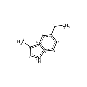 CCc1ccc2[nH]cc(C)c2c1